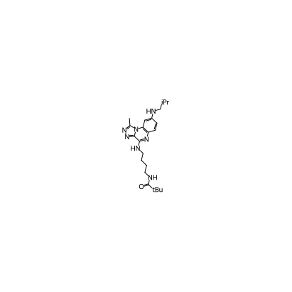 Cc1nnc2c(NCCCCNC(=O)C(C)(C)C)nc3ccc(NCC(C)C)cc3n12